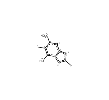 Cc1nc2nc(C(=O)O)c(C)c(O)n2n1